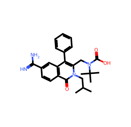 CC(C)Cn1c(CN(C(=O)O)C(C)(C)C)c(-c2ccccc2)c2cc(C(=N)N)ccc2c1=O